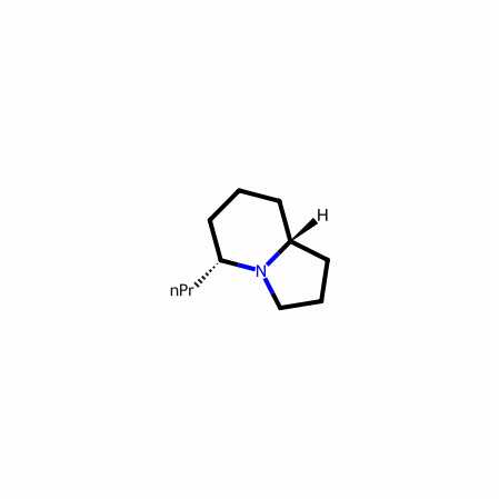 CCC[C@@H]1CCC[C@@H]2CCCN21